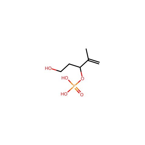 C=C(C)C(CCO)OP(=O)(O)O